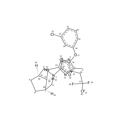 Cc1nnc(N2C[C@H]3CC[C@@H](C2)[C@H]3Nc2nc(Oc3cccc(Cl)c3)n(CC(F)(F)C(F)(F)F)n2)o1